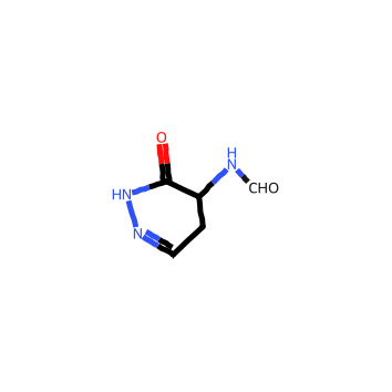 O=CNC1C[C]=NNC1=O